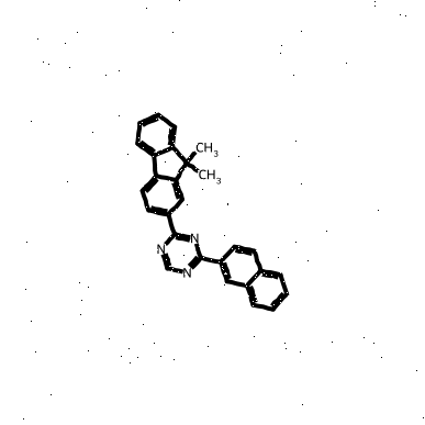 CC1(C)c2ccccc2-c2ccc(-c3ncnc(-c4ccc5ccccc5c4)n3)cc21